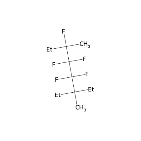 CCC(C)(F)C(F)(F)C(F)(F)C(C)(CC)CC